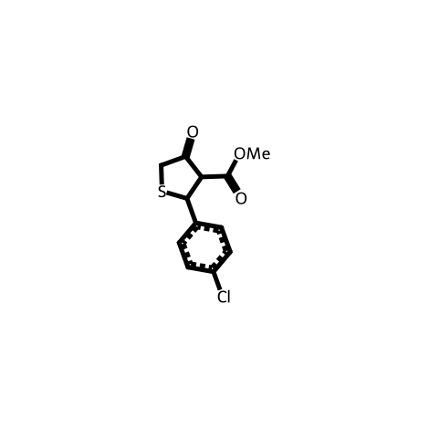 COC(=O)C1C(=O)CSC1c1ccc(Cl)cc1